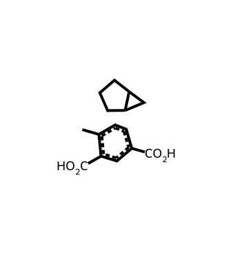 C1CC2CC2C1.Cc1ccc(C(=O)O)cc1C(=O)O